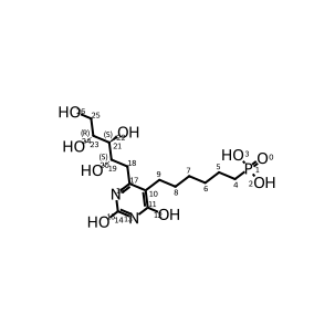 O=P(O)(O)CCCCCCc1c(O)nc(O)nc1C[C@H](O)[C@H](O)[C@H](O)CO